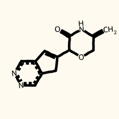 C=C1COC(C2=Cc3cnncc3C2)C(=O)N1